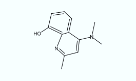 Cc1cc(N(C)C)c2cccc(O)c2n1